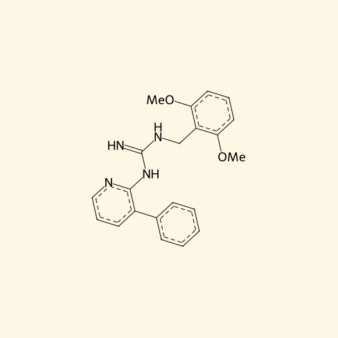 COc1cccc(OC)c1CNC(=N)Nc1ncccc1-c1ccccc1